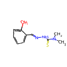 CN(C)C(=S)NN=Cc1ccccc1O